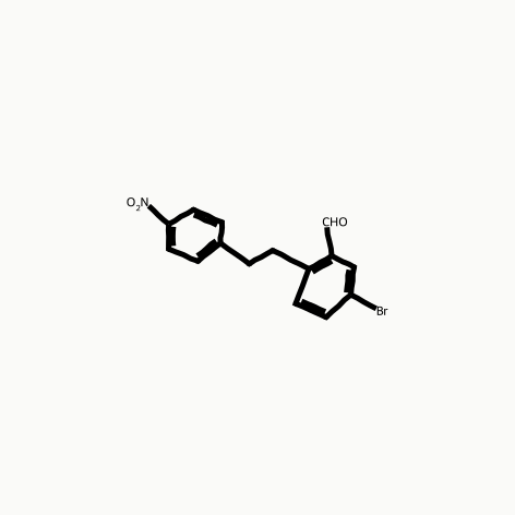 O=Cc1cc(Br)ccc1CCc1ccc([N+](=O)[O-])cc1